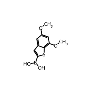 COc1cc(OC)c2sc(B(O)O)cc2c1